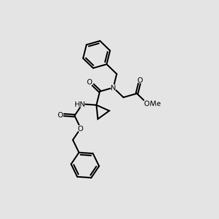 COC(=O)CN(Cc1ccccc1)C(=O)C1(NC(=O)OCc2ccccc2)CC1